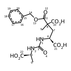 C[C@H](NC(=O)N[C@@H](CC(C)(C(=O)O)C(=O)OCc1ccccc1)C(=O)O)C(=O)O